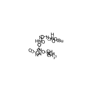 CC(C)(C)OC(=O)N[C@@H]1CCCN(Cc2ccnc(C(=O)Nc3ccc(-c4cc5c(C6=CCOCC6)ncnc5n4COCC[Si](C)(C)C)cc3)c2)C1